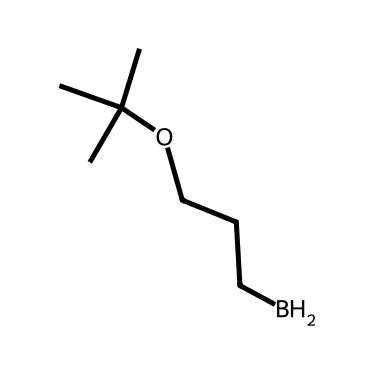 BCCCOC(C)(C)C